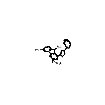 CC(C)(C)c1ccc2c(c1)-c1cc(C(C)(C)C)cc(C3=CC(c4ccccc4)=CC3)c1[CH]2[Zr+2].[Cl-].[Cl-]